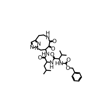 CC(C)CC(NC(=O)C(NC(=O)OCc1ccccc1)C(C)C)C(=O)NC1Cn2ncc(n2)CCNC(=O)C1=O